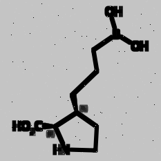 O=C(O)[C@@H]1NCC[C@@H]1CCCB(O)O